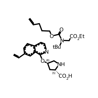 C=CCCCOC(=O)N(CC(=O)OCC)C(C)(C)C.C=Cc1ccc2ccnc(O[C@H]3CN[C@H](C(=O)O)C3)c2c1